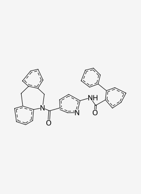 O=C(Nc1ccc(C(=O)N2Cc3ccccc3Cc3ccccc32)cn1)c1ccccc1-c1ccccc1